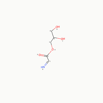 N=CC(=O)OCC(O)CO